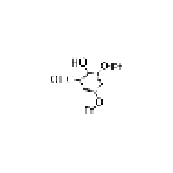 CCOc1cc(C=O)c(O)c(OCC)c1